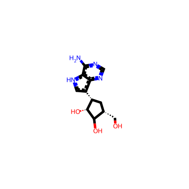 Nc1ncnc2c([C@@H]3C[C@H](CO)C(O)[C@@H]3O)c[nH]c12